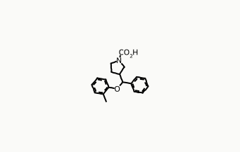 Cc1ccccc1OC(c1ccccc1)C1CCN(C(=O)O)C1